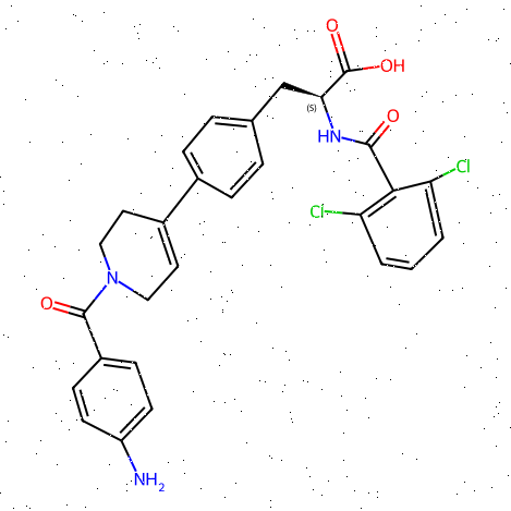 Nc1ccc(C(=O)N2CC=C(c3ccc(C[C@H](NC(=O)c4c(Cl)cccc4Cl)C(=O)O)cc3)CC2)cc1